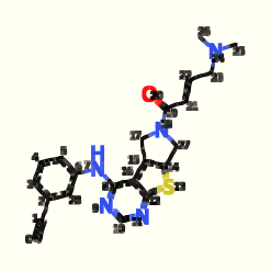 C#Cc1cccc(Nc2ncnc3sc4c(c23)CN(C(=O)/C=C/CN(C)C)C4)c1